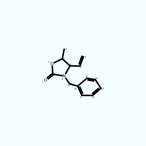 C=CC1C(C)OC(=O)N1Cc1ccccc1